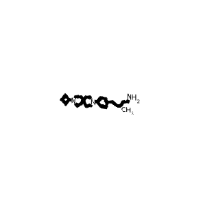 CC(CCN)CCc1ccc(N2CCC3(CC2)CCN(C2CCC2)CC3)cc1